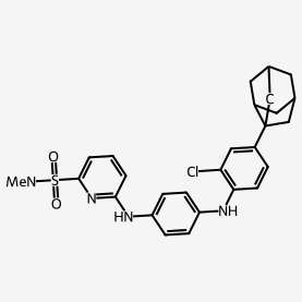 CNS(=O)(=O)c1cccc(Nc2ccc(Nc3ccc(C45CC6CC(CC4C6)C5)cc3Cl)cc2)n1